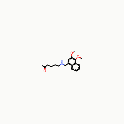 COc1cc(CNCCCCC(C)=O)c2ccccc2c1OC